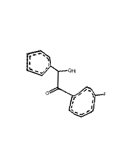 O=C(c1cccc(F)c1)C(O)c1ccccc1